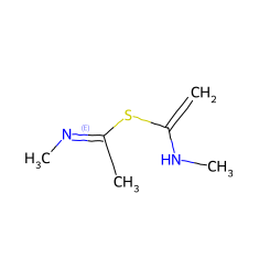 C=C(NC)S/C(C)=N/C